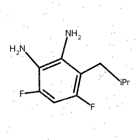 CC(C)Cc1c(F)cc(F)c(N)c1N